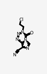 N#Cc1ncn2c(=O)n(CCCl)nnc12